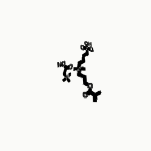 C=C(C)C(=O)OCCC[N+](C)(C)CCCCS(=O)(=O)O.C[N+](C)(C)CC(=O)O